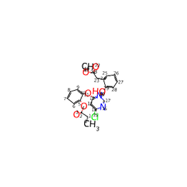 CCC(=O)Oc1ccccc1Oc1cc(Cl)ncn1.COC(=O)Cc1ccccc1O